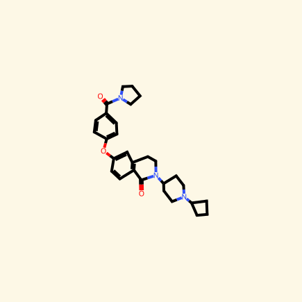 O=C(c1ccc(Oc2ccc3c(c2)CCN(C2CCN(C4CCC4)CC2)C3=O)cc1)N1CCCC1